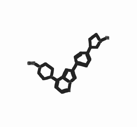 CCN1CCC(c2ccc(-c3cc4c(N5CCN(C=O)CC5)ccnn4c3)cc2)C1